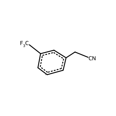 N#CCc1c[c]cc(C(F)(F)F)c1